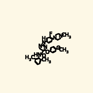 COc1ccc(Oc2nc(Nc3ccc(N4CCN(C)CC4)c(F)c3)ncc2C(=O)Nc2c(C)cccc2C)cc1